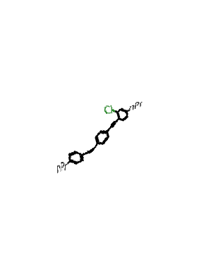 CCCc1ccc(C#Cc2ccc(C#Cc3ccc(CCC)cc3Cl)cc2)cc1